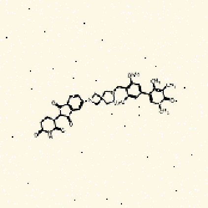 COc1cc(-c2cn(C)c(=O)c(C)c2C)cc(OC)c1CN1CCC2(C1)CN(c1ccc3c(c1)C(=O)C(C1CCC(=O)NC1=O)C3=O)C2